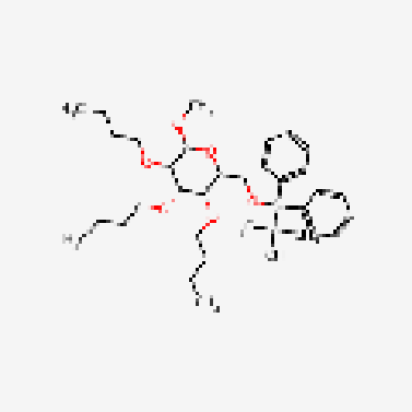 CCCCO[C@@H]1[C@@H](OCCCC)[C@@H](OC)OC(CO[Si](c2ccccc2)(c2ccccc2)C(C)(C)C)[C@@H]1OCCCC